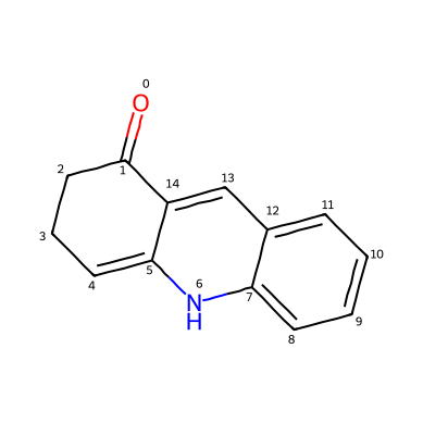 O=C1CCC=C2Nc3ccccc3C=C12